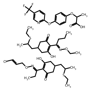 CC(Oc1ccc(Oc2ccc(C(F)(F)F)cn2)cc1)C(=O)O.CCC/C(=N\OCC)C1=C(O)CC(CC(C)SCC)CC1=O.CCSC(C)CC1CC(=O)C(/C(CC)=N/OC/C=C/Cl)=C(O)C1